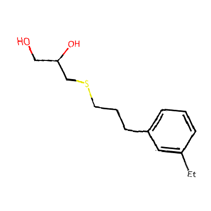 CCc1[c]c(CCCSCC(O)CO)ccc1